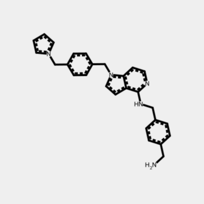 NCc1ccc(CNc2nccc3c2ccn3Cc2ccc(Cn3cccc3)cc2)cc1